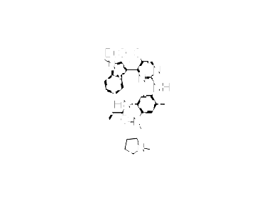 C=CC(=O)Nc1cc(Nc2ncc(C(=O)OCC)c(-c3cn(C)c4ccccc34)n2)c(C)cc1N(C)C[C@H]1CCCN1C